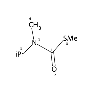 CSC(=O)N(C)C(C)C